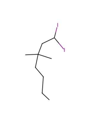 CCCCC(C)(C)CC(I)I